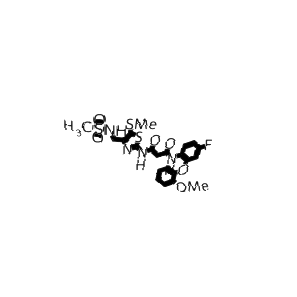 COc1ccccc1Oc1cc(F)ccc1NC(=O)CC(=O)Nc1nc(CNS(C)(=O)=O)c(SC)s1